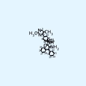 Cc1ncc(C)c(-c2ccc(NC(=O)[C@@H](N)C(c3ccccc3)c3ccccc3)cc2)n1.Cl.Cl